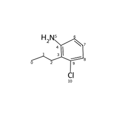 CCCc1c(N)cccc1Cl